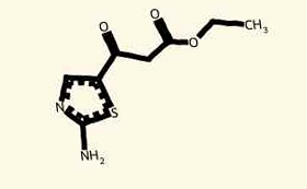 CCOC(=O)CC(=O)c1cnc(N)s1